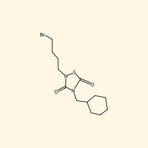 O=c1sn(CCCCBr)c(=O)n1CC1CCCCC1